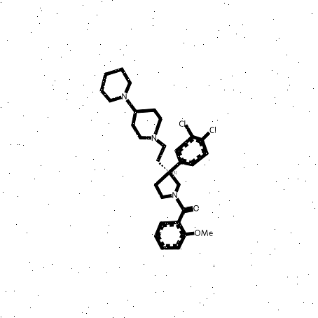 COc1ccccc1C(=O)N1CC[C@@](CCN2CCC(N3CCCCC3)CC2)(c2ccc(Cl)c(Cl)c2)C1